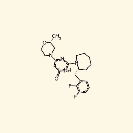 C[C@@H]1CN(c2cc(=O)[nH]c(N3CCCCC[C@@H]3Cc3cccc(F)c3F)n2)CCO1